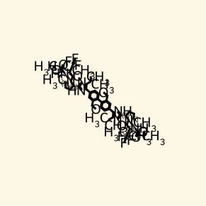 COC(=O)N[C@H](C(=O)N1[C@@H](C)CC[C@H]1c1nc(C(C)C)c(-c2cc3c4c(c2)OCc2cc(-c5[nH]c([C@@H]6CC[C@H](C)N6C(=O)[C@@H](NC(=O)OC)C(C)(C)C(F)(F)F)nc5C(C)C)cc(c2-4)OC3)[nH]1)C(C)(C)C(F)(F)F